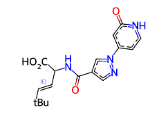 CC(C)(C)/C=C/C(NC(=O)c1cnn(-c2cc[nH]c(=O)c2)c1)C(=O)O